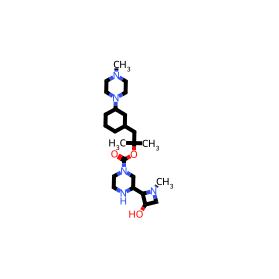 CN1CCN(C2CCCC(CC(C)(C)OC(=O)N3CCNC(C4C(O)CN4C)C3)C2)CC1